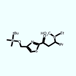 CCN(C(=O)O)C(CC(=O)c1nc(CO[Si](C)(C)C(C)(C)C)cs1)C(C)C